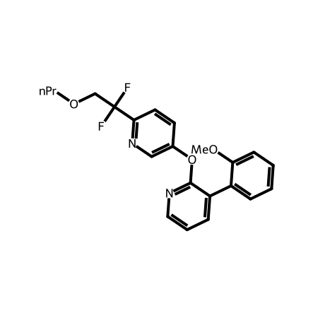 CCCOCC(F)(F)c1ccc(Oc2ncccc2-c2ccccc2OC)cn1